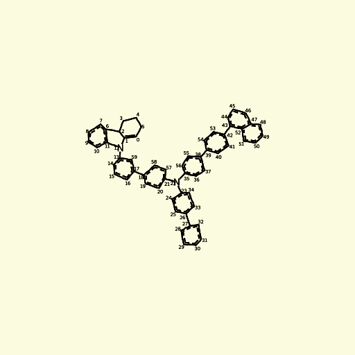 C1=C2C(CCC1)c1ccccc1N2c1cccc(-c2ccc(N(c3ccc(-c4ccccc4)cc3)c3ccc(-c4ccc(-c5cccc6ccccc56)cc4)cc3)cc2)c1